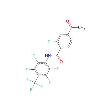 CC(=O)c1ccc(C(=O)Nc2c(F)c(F)c(C(F)(F)F)c(F)c2F)c(F)c1